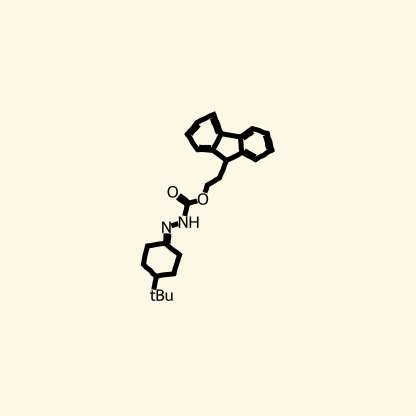 CC(C)(C)C1CCC(=NNC(=O)OCCC2c3ccccc3-c3ccccc32)CC1